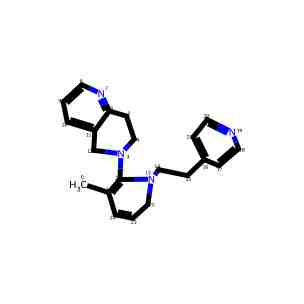 CC1=C(N2CCc3ncccc3C2)N(CCc2ccncc2)CC=C1